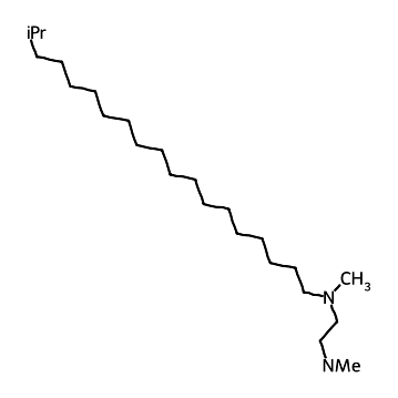 CNCCN(C)CCCCCCCCCCCCCCCCCC(C)C